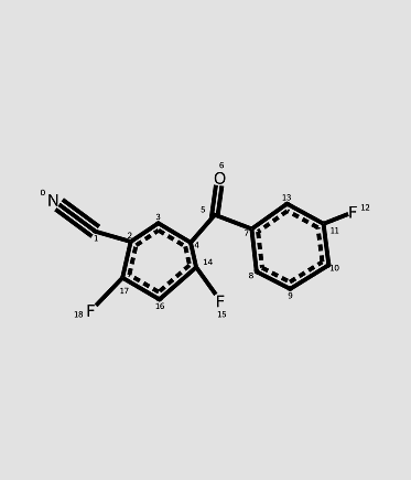 N#Cc1cc(C(=O)c2cccc(F)c2)c(F)cc1F